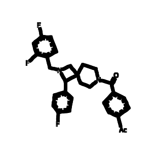 CC(=O)c1ccc(C(=O)N2CCC3(CC2)CN(Cc2ccc(F)cc2F)C3c2ccc(F)cc2)cc1